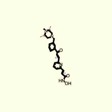 C[C@@H]1CN(Cc2cccc(C(=O)/C=C/c3cccc(/C=C/C(=O)NO)n3)c2)C[C@H](C)N1C